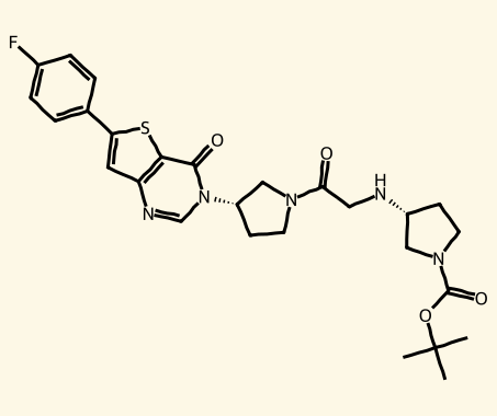 CC(C)(C)OC(=O)N1CC[C@@H](NCC(=O)N2CC[C@H](n3cnc4cc(-c5ccc(F)cc5)sc4c3=O)C2)C1